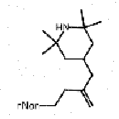 C=C(CCCCCCCCCCC)CC1CC(C)(C)NC(C)(C)C1